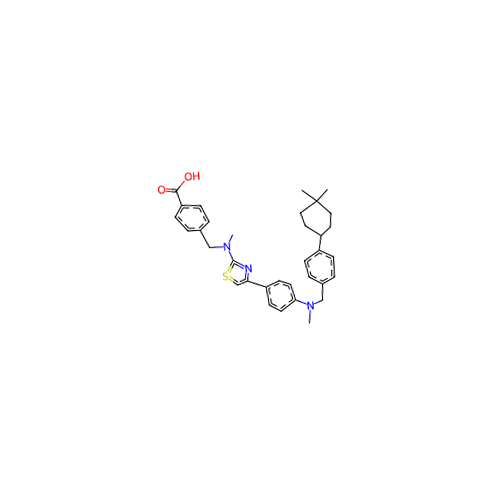 CN(Cc1ccc(C2CCC(C)(C)CC2)cc1)c1ccc(-c2csc(N(C)Cc3ccc(C(=O)O)cc3)n2)cc1